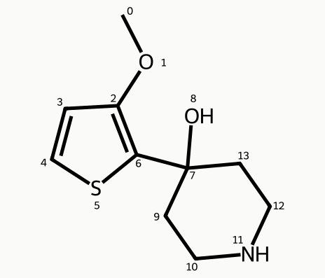 COc1ccsc1C1(O)CCNCC1